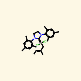 CC=C(C)[CH2][Ru]([Cl])([Cl])=[C]1N(c2c(C)cc(C)cc2C)CCN1c1c(C)cc(C)cc1C